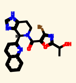 CC(O)c1nc(Br)c(C(=O)N2CCc3[nH]cnc3[C@@H]2c2ccc3ccccc3n2)o1